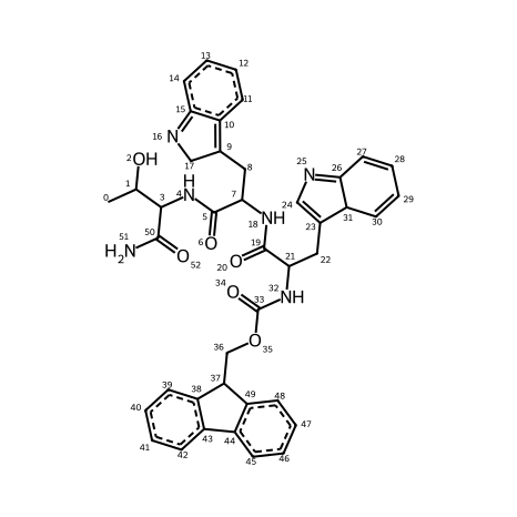 CC(O)C(NC(=O)C(CC1=c2ccccc2=NC1)NC(=O)C(CC1=CN=C2C=CC=CC12)NC(=O)OCC1c2ccccc2-c2ccccc21)C(N)=O